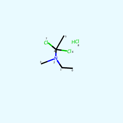 CCN(C)C(C)(Cl)Cl.Cl